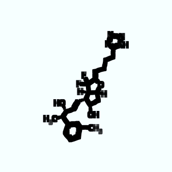 Cc1cccc([C@@H](C)[C@H](O)/C=C/[C@@H]2[C@@H]3[C@H](C[C@H]2O)O/C(=C\CCCc2nnn[nH]2)C3(F)F)c1